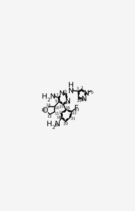 Cn1cc(Nc2nc(N)c(C3CCOC3)c(-c3cc(N)ccc3F)n2)cn1